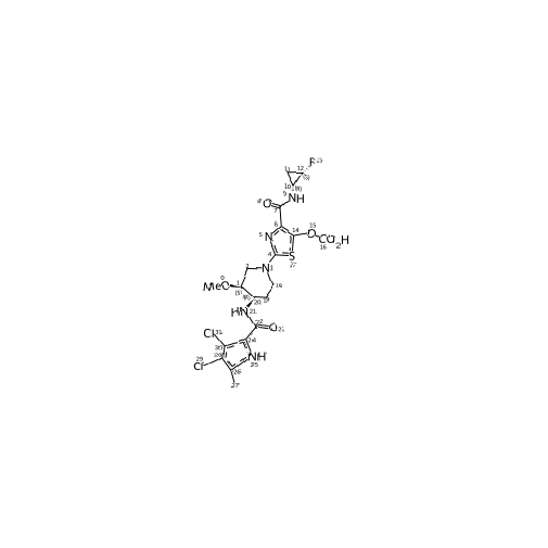 CO[C@H]1CN(c2nc(C(=O)N[C@@H]3C[C@@H]3F)c(OC(=O)O)s2)CC[C@H]1NC(=O)c1[nH]c(C)c(Cl)c1Cl